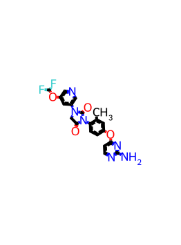 Cc1cc(Oc2ccnc(N)n2)ccc1N1C(=O)CN(c2cncc(OC(F)F)c2)C1=O